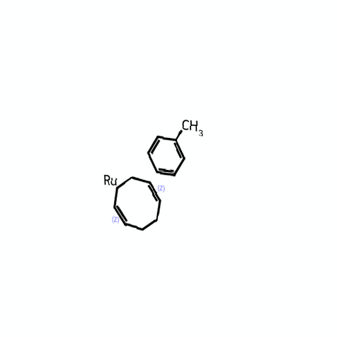 C1=C\CC/C=C\CC/1.Cc1ccccc1.[Ru]